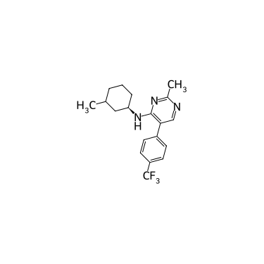 Cc1ncc(-c2ccc(C(F)(F)F)cc2)c(N[C@@H]2CCCC(C)C2)n1